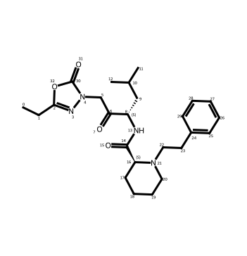 CCc1nn(CC(=O)[C@H](CC(C)C)NC(=O)[C@@H]2CCCCN2CCc2ccccc2)c(=O)o1